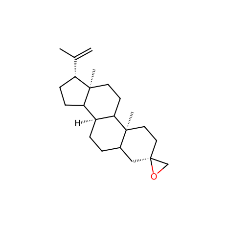 C=C(C)[C@H]1CCC2[C@@H]3CCC4C[C@]5(CC[C@]4(C)C3CC[C@@]21C)CO5